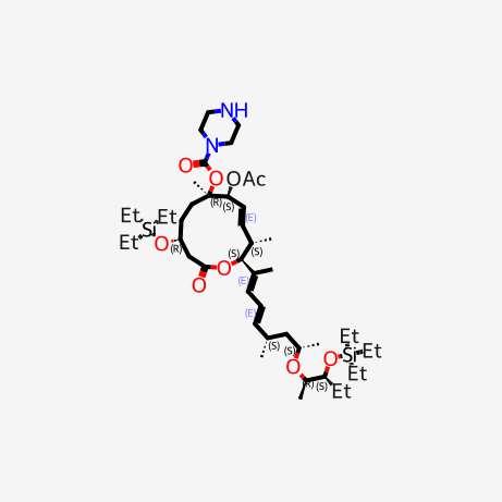 CC[C@H](O[Si](CC)(CC)CC)[C@@H](C)O[C@@H](C)C[C@H](C)/C=C/C=C(\C)[C@H]1OC(=O)C[C@H](O[Si](CC)(CC)CC)CC[C@@](C)(OC(=O)N2CCNCC2)[C@@H](OC(C)=O)/C=C/[C@@H]1C